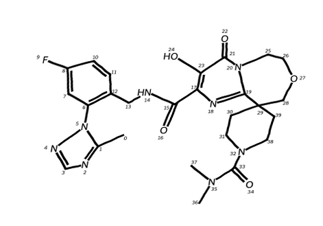 Cc1ncnn1-c1cc(F)ccc1CNC(=O)c1nc2n(c(=O)c1O)CCOCC21CCN(C(=O)N(C)C)CC1